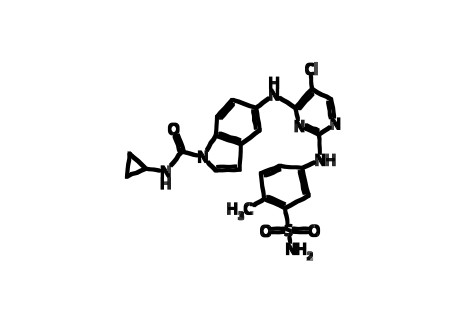 Cc1ccc(Nc2ncc(Cl)c(Nc3ccc4c(ccn4C(=O)NC4CC4)c3)n2)cc1S(N)(=O)=O